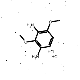 COc1ccc(N)c(OC)c1N.Cl.Cl